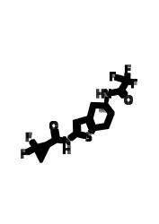 O=C(Nc1cc2c(s1)CC[C@H](NC(=O)C(F)(F)F)C2)C1CC1(F)F